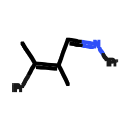 CC(/C=N\C(C)C)=C(/C)C(C)C